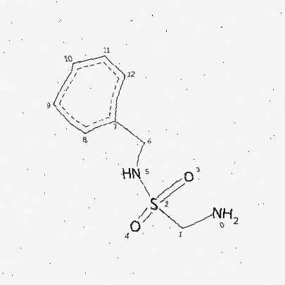 NCS(=O)(=O)NCc1ccccc1